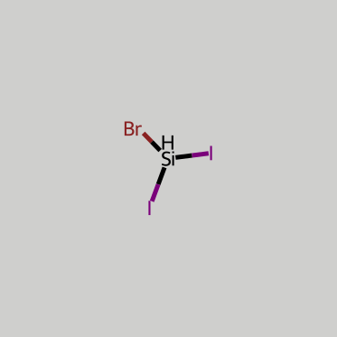 Br[SiH](I)I